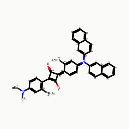 CCCCN(CCCC)c1ccc(C2=C([O-])/C(=C3\C=CC(=[N+](c4ccc5ccccc5c4)c4ccc5ccccc5c4)C=C3NC(C)=O)C2=O)c(NC(C)=O)c1